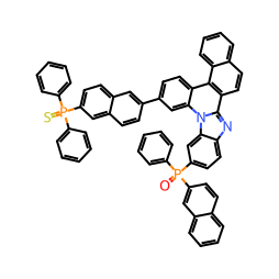 O=P(c1ccccc1)(c1ccc2ccccc2c1)c1ccc2nc3c4ccc5ccccc5c4c4ccc(-c5ccc6cc(P(=S)(c7ccccc7)c7ccccc7)ccc6c5)cc4n3c2c1